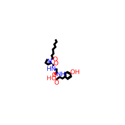 CCCCCCCC(=O)N1CCC[C@H]1C(=O)NCC(=O)NC(Cc1ccc(O)cc1)C(=O)O